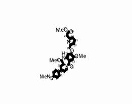 CNSc1ccc(C2=CCN3C(=O)c4cc(OC)c(OCc5cccc(CC(=O)OC)n5)cc4NC(OC)C3C2)cc1